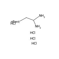 CCCCCCC(N)N.Cl.Cl.Cl.Cl